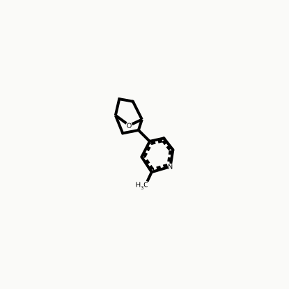 Cc1cc(C2CC3CCC2O3)ccn1